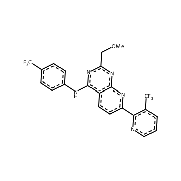 COCc1nc(Nc2ccc(C(F)(F)F)cc2)c2ccc(-c3ncccc3C(F)(F)F)nc2n1